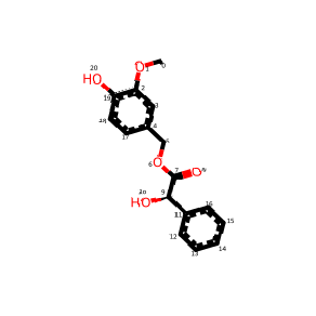 COc1cc(COC(=O)[C@H](O)c2ccccc2)ccc1O